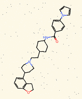 O=C(NC1CCC(CCN2CCC(c3cccc4c3CCO4)CC2)CC1)c1ccc(-n2cccc2)cc1